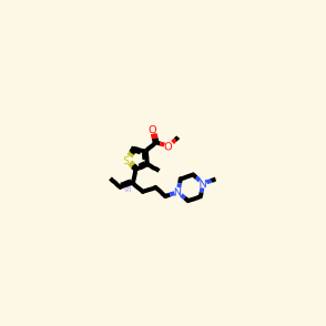 C/C=C(/CCCN1CCN(C)CC1)c1scc(C(=O)OC)c1C